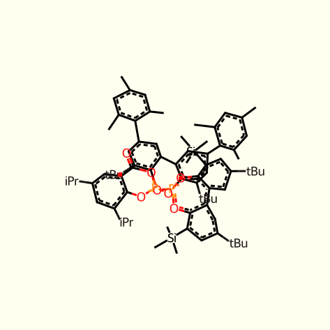 Cc1cc(C)c(-c2cc(-c3cc(-c4c(C)cc(C)cc4C)cc(C(C)(C)C)c3Op3oc4c([Si](C)(C)C)cc(C(C)(C)C)cc4c4cc(C(C)(C)C)cc([Si](C)(C)C)c4o3)c(OP3OC(=O)c4cc(C(C)C)cc(C(C)C)c4O3)c(C(C)(C)C)c2)c(C)c1